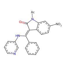 CC(=O)N1C(=O)/C(=C(\Nc2cccnc2)c2ccccc2)c2ccc([N+](=O)[O-])cc21